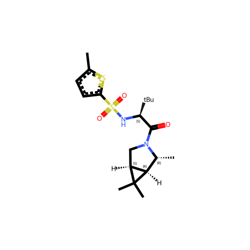 Cc1ccc(S(=O)(=O)N[C@H](C(=O)N2C[C@H]3[C@@H]([C@H]2C)C3(C)C)C(C)(C)C)s1